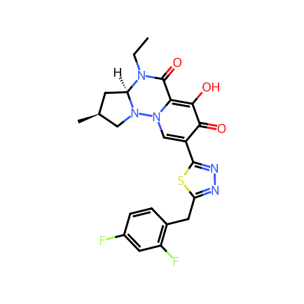 CCN1C(=O)c2c(O)c(=O)c(-c3nnc(Cc4ccc(F)cc4F)s3)cn2N2C[C@@H](C)C[C@@H]12